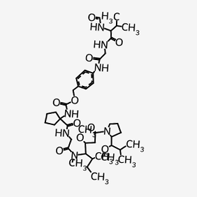 CCC(C)C(C(CC(=O)N1CCCC1C(OC)C(C)C)OC)N(C)C(=O)CNC(=O)C1(NC(=O)OCc2ccc(NC(=O)CNC(=O)C(NC=O)C(C)C)cc2)CCCC1